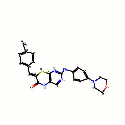 O=C1Nc2cnc(Nc3ccc(N4CCOCC4)cc3)nc2SC1=Cc1ccc([N+](=O)[O-])cc1